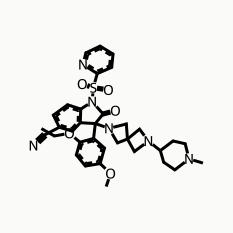 CCOc1ccc(OC)cc1C1(N2CC3(CN(C4CCN(C)CC4)C3)C2)C(=O)N(S(=O)(=O)c2ccccn2)c2ccc(C#N)cc21